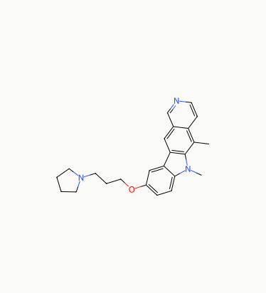 Cc1c2ccncc2cc2c3cc(OCCCN4CCCC4)ccc3n(C)c12